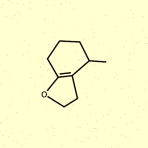 CC1CCCC2=C1CCO2